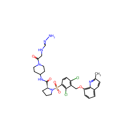 Cc1ccc2cccc(OCc3c(Cl)ccc(S(=O)(=O)N4CCC[C@H]4C(=O)NC4CCN(C(=O)CNC=NN)CC4)c3Cl)c2n1